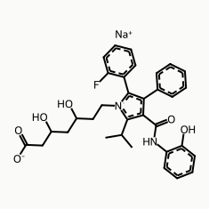 CC(C)c1c(C(=O)Nc2ccccc2O)c(-c2ccccc2)c(-c2ccccc2F)n1CCC(O)CC(O)CC(=O)[O-].[Na+]